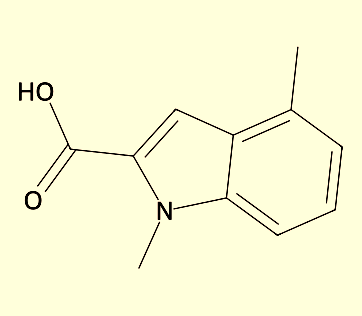 Cc1cccc2c1cc(C(=O)O)n2C